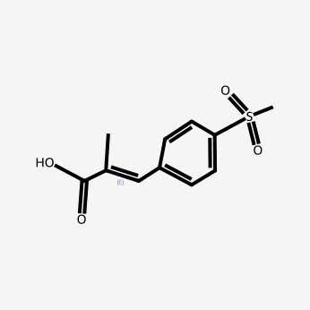 C/C(=C\c1ccc(S(C)(=O)=O)cc1)C(=O)O